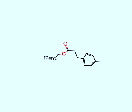 CCCC(C)COC(=O)CCc1ccc(C)cc1